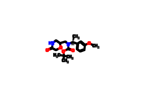 COc1cccc([C@@H](C)N(CC2CNC(=O)CO2)C(=O)OC(C)(C)C)c1